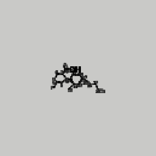 C=C(C)C1CCC(C)=CC1c1c(C)cc(CCCCC)cc1O